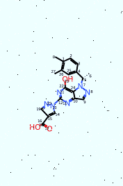 Cc1ccc([C@H](C)n2ncc3nc(-n4cc(C(=O)O)cn4)nc(O)c32)cc1C